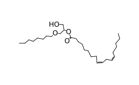 CCCCC/C=C\C/C=C\CCCCCCCC(=O)OC(CO)COCCCCCCCC